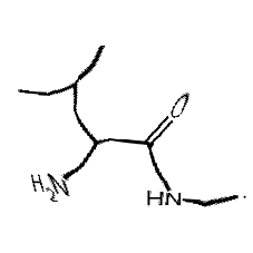 [CH2]NC(=O)C(N)C(C)C